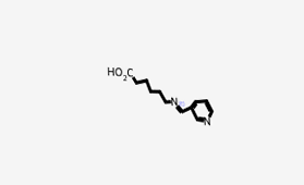 O=C(O)CCCCC/N=C/c1cccnc1